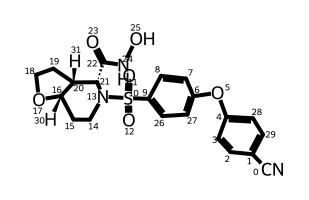 N#Cc1ccc(Oc2ccc(S(=O)(=O)N3CC[C@@H]4OCC[C@@H]4[C@@H]3C(=O)NO)cc2)cc1